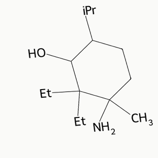 CCC1(CC)C(O)C(C(C)C)CCC1(C)N